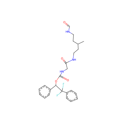 CC(CCNC=O)CCNC(=O)CNC(=O)OC(c1ccccc1)C(F)(F)c1ccccc1